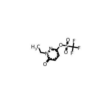 CCn1nc(OS(=O)(=O)C(F)(F)F)ccc1=O